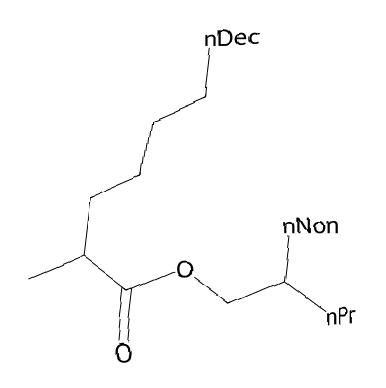 CCCCCCCCCCCCCCC(C)C(=O)OCC(CCC)CCCCCCCCC